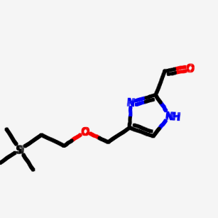 C[Si](C)(C)CCOCc1c[nH]c(C=O)n1